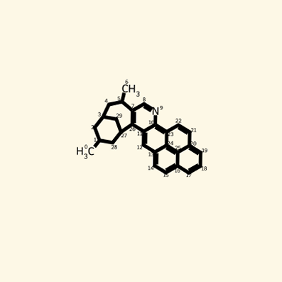 CC1CC2CC(C)c3cnc4c(cc5ccc6cccc7ccc4c5c67)c3C(C1)C2